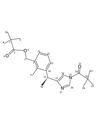 Cc1c(COC(=O)C(C)(C)C)cccc1[C@H](C)c1cn(C(=O)C(C)(C)C)cn1